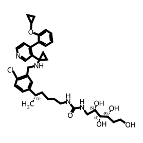 C[C@@H](CCCCNC(=O)NC[C@H](O)[C@@H](O)[C@H](O)CCO)c1ccc(Cl)c(CNC2(c3cnccc3-c3ccccc3OC3CC3)CC2)c1